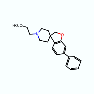 O=C(O)CCN1CCC2(CC1)COc1cc(-c3ccccc3)ccc12